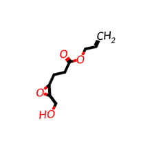 C=CCOC(=O)CCC1OC1CO